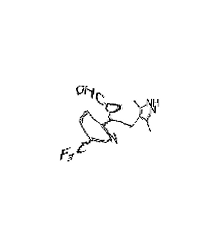 Cc1n[nH]c(C)c1CC(OC=O)c1ccc(C(F)(F)F)cn1